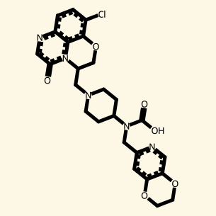 O=C(O)N(Cc1cc2c(cn1)OCCO2)C1CCN(CC2COc3c(Cl)ccc4ncc(=O)n2c34)CC1